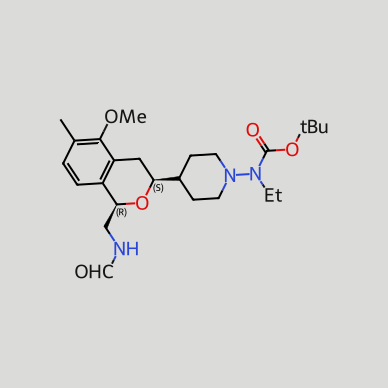 CCN(C(=O)OC(C)(C)C)N1CCC([C@@H]2Cc3c(ccc(C)c3OC)[C@H](CNC=O)O2)CC1